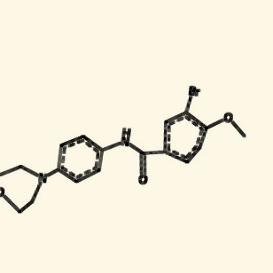 COc1ccc(C(=O)Nc2ccc(N3CCOCC3)cc2)cc1Br